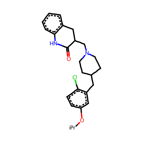 CC(C)Oc1ccc(Cl)c(CC2CCN(CC3Cc4ccccc4NC3=O)CC2)c1